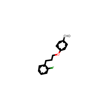 O=Cc1ccc(OCCCc2ccccc2F)cc1